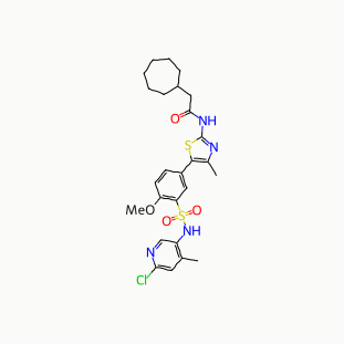 COc1ccc(-c2sc(NC(=O)CC3CCCCCC3)nc2C)cc1S(=O)(=O)Nc1cnc(Cl)cc1C